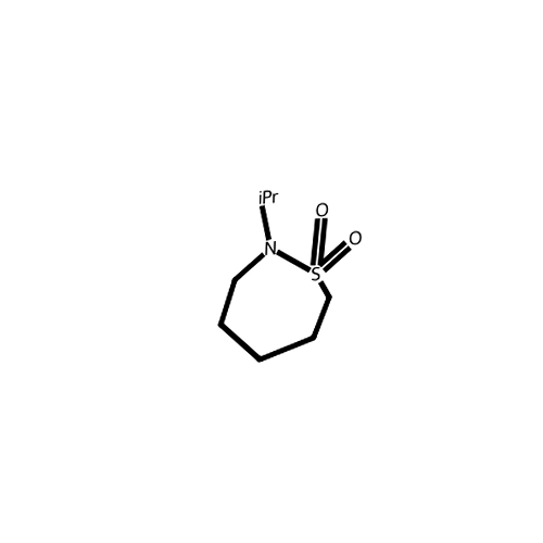 CC(C)N1CCCCCS1(=O)=O